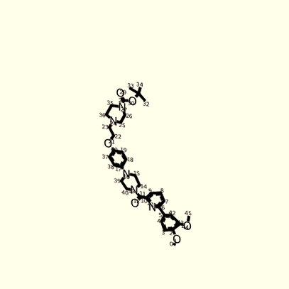 COc1ccc(-c2cccc(C(=O)N3CCN(c4ccc(OCCN5CCN(C(=O)OC(C)(C)C)CC5)cc4)CC3)n2)cc1OC